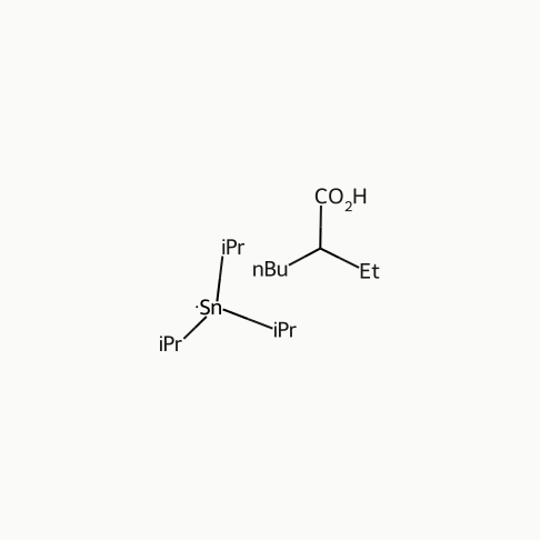 CCCCC(CC)C(=O)O.C[CH](C)[Sn]([CH](C)C)[CH](C)C